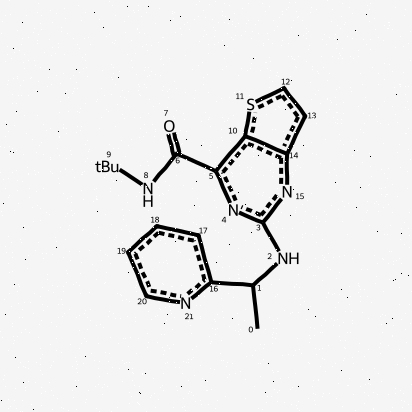 CC(Nc1nc(C(=O)NC(C)(C)C)c2sccc2n1)c1ccccn1